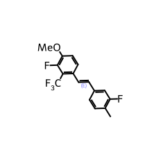 COc1ccc(/C=C/c2ccc(C)c(F)c2)c(C(F)(F)F)c1F